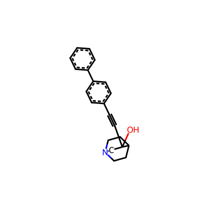 OC1(C#Cc2ccc(-c3ccccc3)cc2)CN2CCC1CC2